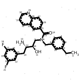 CCc1cccc(CN(C[C@@H](O)[C@@H](N)Cc2cc(F)cc(F)c2)C(=O)c2ccc3ncccc3c2)c1